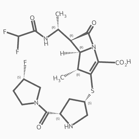 C[C@@H](NC(=O)C(F)F)[C@H]1C(=O)N2C(C(=O)O)=C(S[C@@H]3CN[C@H](C(=O)N4CC[C@H](F)C4)C3)[C@H](C)[C@@H]12